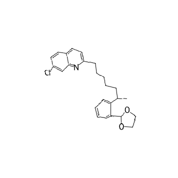 CC(CCCCCc1ccc2ccc(Cl)cc2n1)c1ccccc1C1OCCO1